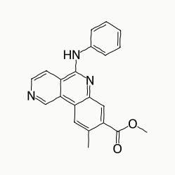 COC(=O)c1cc2nc(Nc3ccccc3)c3ccncc3c2cc1C